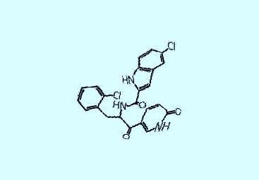 O=C(NC(Cc1ccccc1Cl)C(=O)c1ccc(=O)[nH]c1)c1cc2cc(Cl)ccc2[nH]1